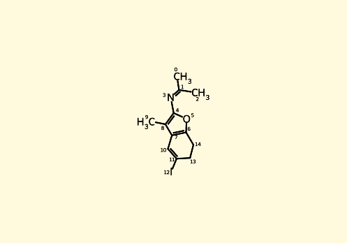 CC(C)=Nc1oc2c(c1C)C=C(I)CC2